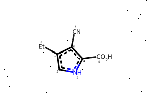 CCc1c[nH]c(C(=O)O)c1C#N